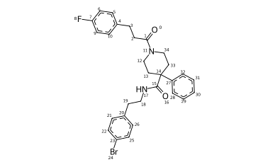 O=C(CCc1ccc(F)cc1)N1CCC(C(=O)NCCc2ccc(Br)cc2)(c2ccccc2)CC1